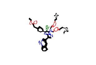 CCOC(=O)CC1CCC(c2nc3c(-c4cnc5ccccc5c4)cnn3c(N(COCC[Si](C)(C)C)COCC[Si](C)(C)C)c2Br)CC1